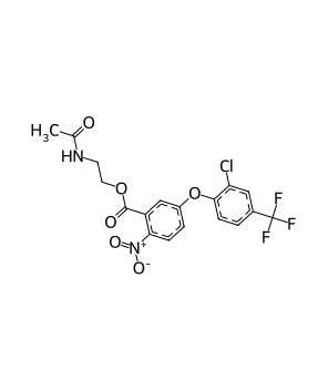 CC(=O)NCCOC(=O)c1cc(Oc2ccc(C(F)(F)F)cc2Cl)ccc1[N+](=O)[O-]